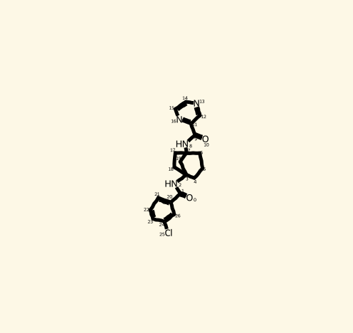 O=C(NC12CCCC(NC(=O)c3cnccn3)(CC1)C2)c1cccc(Cl)c1